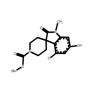 CN1C(=O)C2(CCN(C(=O)OC(C)(C)C)CC2)c2c(Cl)cc(O)cc21